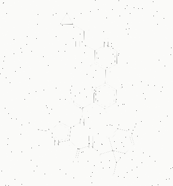 CC1C2C=NC=CC12CNC(=O)c1nn(C)cc1NC(=O)c1cccc(-c2ccnc(NCC3CC3)c2)n1